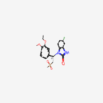 CCOc1cc([C@@H](CS(C)(=O)=O)n2c(=O)[nH]c3cc(F)ccc32)ccc1OC